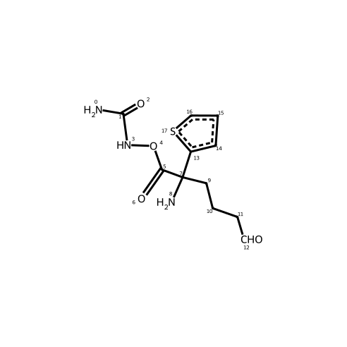 NC(=O)NOC(=O)C(N)(CCCC=O)c1cccs1